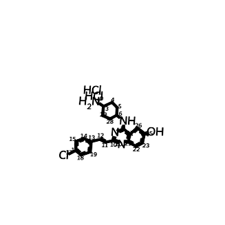 Cl.Cl.NC1CCC(Nc2nc(C=Cc3ccc(Cl)cc3)nc3ccc(O)cc23)CC1